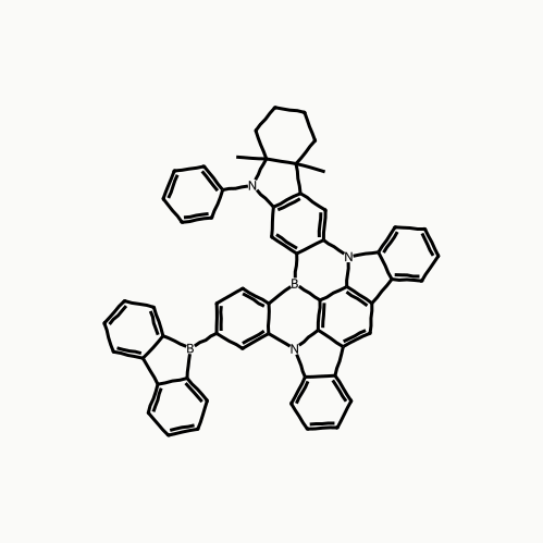 CC12CCCCC1(C)N(c1ccccc1)c1cc3c(cc12)-n1c2ccccc2c2cc4c5ccccc5n5c4c(c21)B3c1ccc(B2c3ccccc3-c3ccccc32)cc1-5